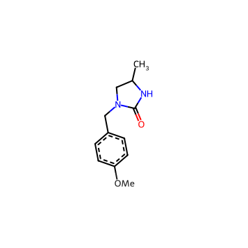 COc1ccc(CN2CC(C)NC2=O)cc1